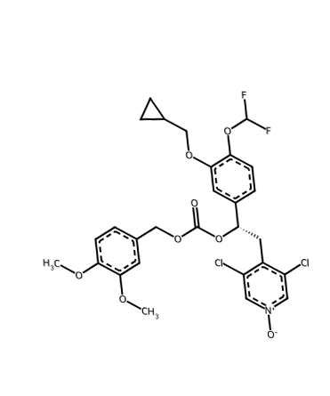 COc1ccc(COC(=O)O[C@@H](Cc2c(Cl)c[n+]([O-])cc2Cl)c2ccc(OC(F)F)c(OCC3CC3)c2)cc1OC